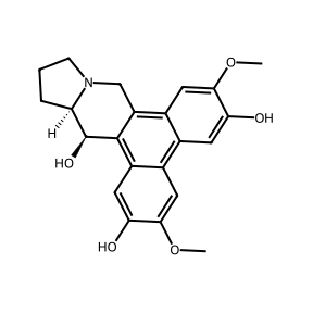 COc1cc2c3c(c4cc(O)c(OC)cc4c2cc1O)[C@@H](O)[C@H]1CCCN1C3